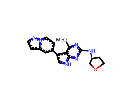 COc1nc(N[C@H]2CCOC2)nc2[nH]cc(-c3ccn4nccc4c3)c12